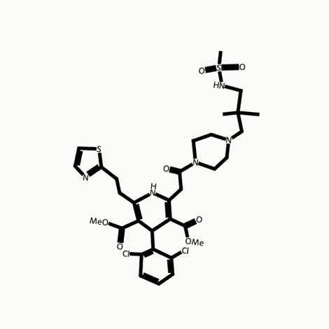 COC(=O)C1=C(CCc2nccs2)NC(CC(=O)N2CCN(CC(C)(C)CNS(C)(=O)=O)CC2)=C(C(=O)OC)C1c1c(Cl)cccc1Cl